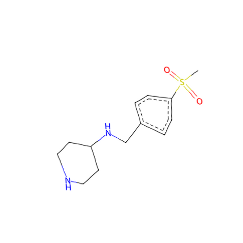 CS(=O)(=O)c1ccc(CNC2CCNCC2)cc1